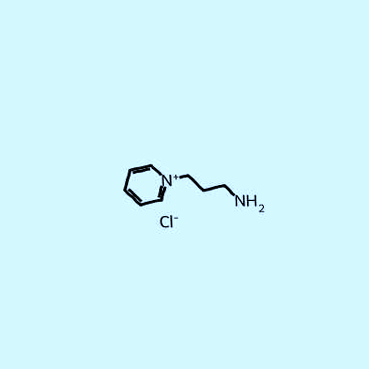 NCCC[n+]1ccccc1.[Cl-]